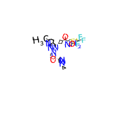 Cc1ccc2c(n1)nc(N1CCO[C@@H](c3cnn(C4CC4)c3)C1)nc2[C@H]1C[C@H](C(=O)[C@@H](N)C[S+]([O-])CC(F)=C(F)F)C1